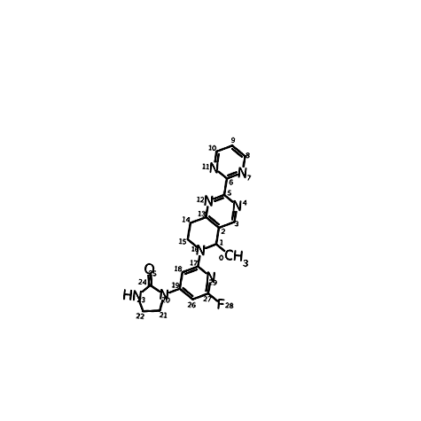 CC1c2cnc(-c3ncccn3)nc2CCN1c1cc(N2CCNC2=O)cc(F)n1